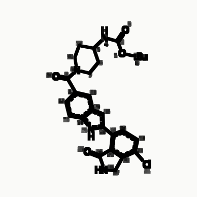 CC(C)(C)OC(=O)NC1CCN(C(=O)c2ccc3[nH]c(-c4ccc(Cl)c5c4C(=O)NC5)cc3c2)CC1